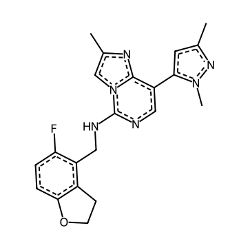 Cc1cn2c(NCc3c(F)ccc4c3CCO4)ncc(-c3cc(C)nn3C)c2n1